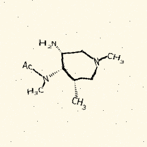 CC(=O)N(C)[C@@H]1[C@H](N)CN(C)C[C@@H]1C